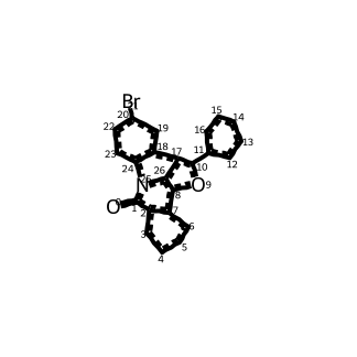 O=c1c2ccccc2c2oc(-c3ccccc3)c3c4cc(Br)ccc4n1c23